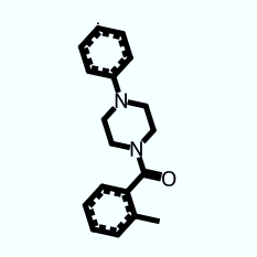 Cc1ccccc1C(=O)N1CCN(c2cc[c]cc2)CC1